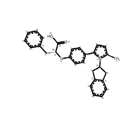 Cc1ccc(-c2ccc(O[C@H](Cc3ccccc3)C(=O)O)cc2)n1C1Cc2ccccc2C1